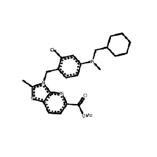 COC(=O)c1ccc2nc(C)n(Cc3ccc(N(C)CC4CCCCC4)cc3Cl)c2n1